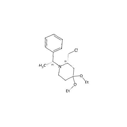 CCOC1(OCC)CCN([C@H](C)c2ccccc2)[C@H](CCl)C1